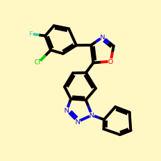 Fc1ccc(-c2ncoc2-c2ccc3nnn(-c4ccccc4)c3c2)cc1Cl